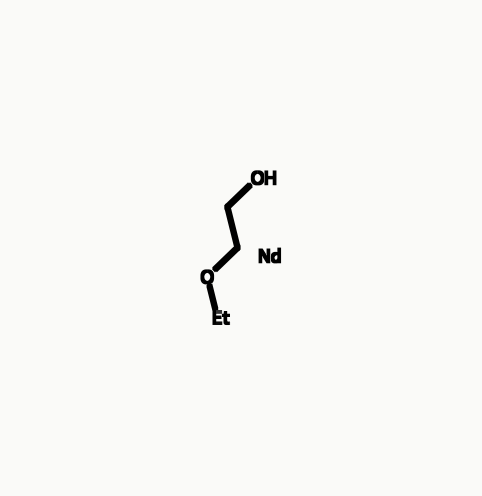 CCOCCO.[Nd]